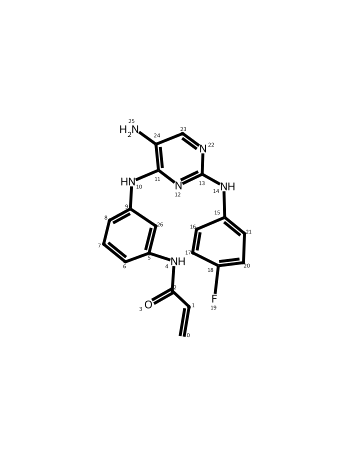 C=CC(=O)Nc1cccc(Nc2nc(Nc3ccc(F)cc3)ncc2N)c1